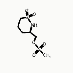 CS(=O)(=O)OCC1CCCS(=O)(=O)N1